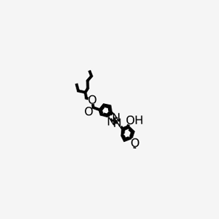 CCCCC(CC)COC(=O)c1ccc2c(c1)n1n(-c3ccc(OC)cc3O)n21